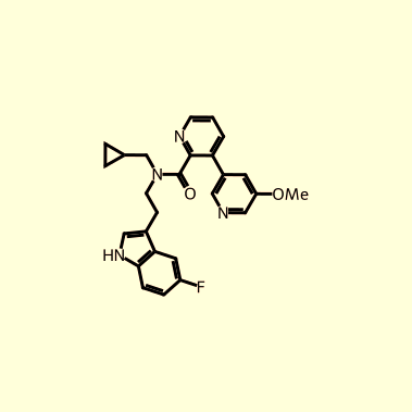 COc1cncc(-c2cccnc2C(=O)N(CCc2c[nH]c3ccc(F)cc23)CC2CC2)c1